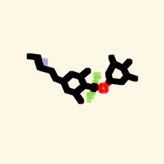 C/C=C/CCC1CC(C)C(C(F)(F)OC2CC(C)C(C)C(C)C2)C(C)C1